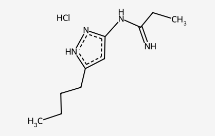 CCCCc1cc(NC(=N)CC)n[nH]1.Cl